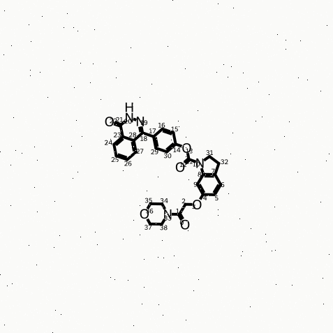 O=C(COc1ccc2c(c1)N(C(=O)Oc1ccc(-c3n[nH]c(=O)c4ccccc34)cc1)CC2)N1CCOCC1